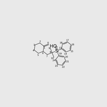 C=C1CCCCC1CC(C)(C)[Si](O)(c1ccccc1)c1ccccc1